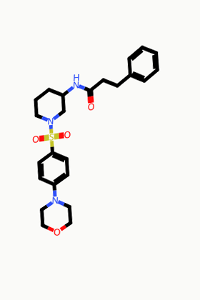 O=C(CCc1ccccc1)NC1CCCN(S(=O)(=O)c2ccc(N3CCOCC3)cc2)C1